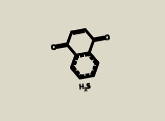 O=C1C=CC(=O)c2ccccc21.S